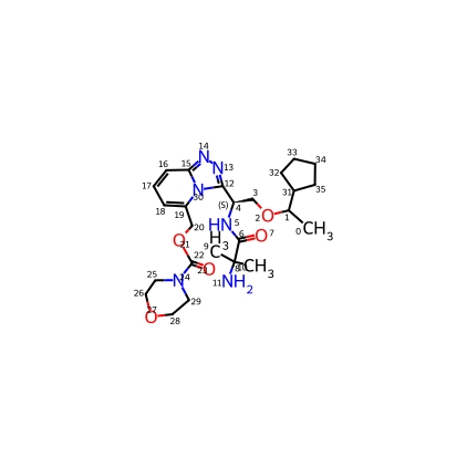 CC(OC[C@@H](NC(=O)C(C)(C)N)c1nnc2cccc(COC(=O)N3CCOCC3)n12)C1CCCC1